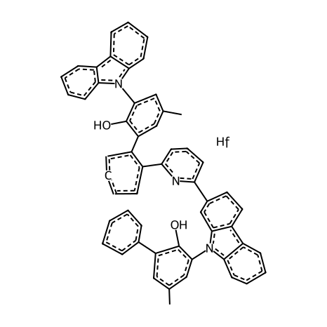 Cc1cc(-c2ccccc2)c(O)c(-n2c3ccccc3c3ccc(-c4cccc(-c5ccccc5-c5cc(C)cc(-n6c7ccccc7c7ccccc76)c5O)n4)cc32)c1.[Hf]